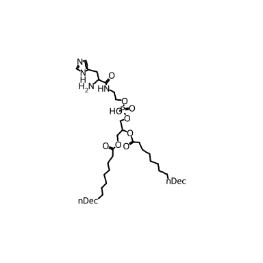 CCCCCCCCCCCCCCCCCC(=O)OCC(COP(=O)(O)OCCNC(=O)C(N)Cc1cnc[nH]1)OC(=O)CCCCCCCCCCCCCCCCC